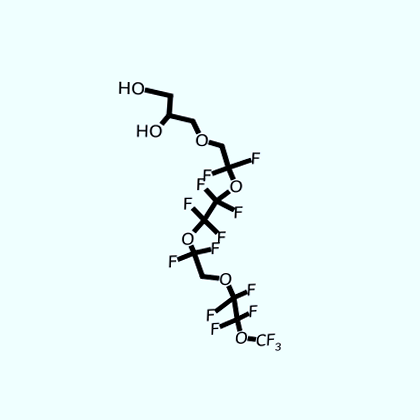 OCC(O)COCC(F)(F)OC(F)(F)C(F)(F)OC(F)(F)COC(F)(F)C(F)(F)OC(F)(F)F